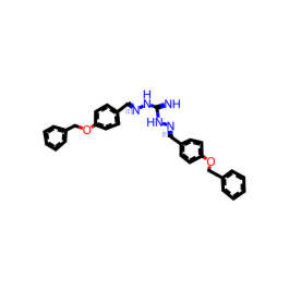 N=C(N/N=C/c1ccc(OCc2ccccc2)cc1)N/N=C/c1ccc(OCc2ccccc2)cc1